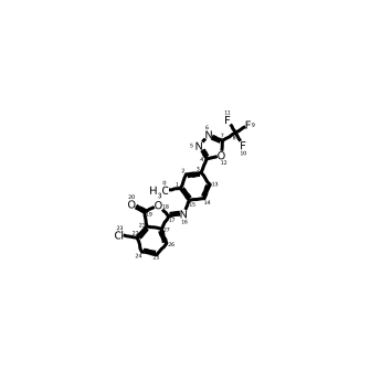 Cc1cc(-c2nnc(C(F)(F)F)o2)ccc1N=C1OC(=O)c2c(Cl)cccc21